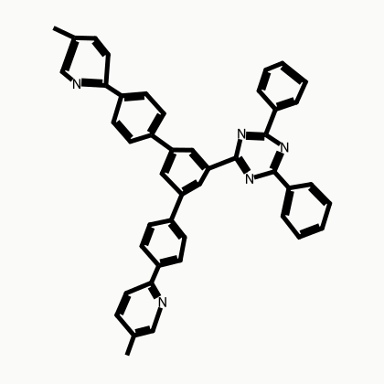 Cc1ccc(-c2ccc(-c3cc(-c4ccc(-c5ccc(C)cn5)cc4)cc(-c4nc(-c5ccccc5)nc(-c5ccccc5)n4)c3)cc2)nc1